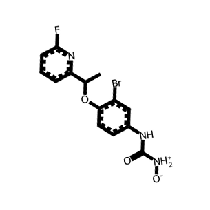 CC(Oc1ccc(NC(=O)[NH2+][O-])cc1Br)c1cccc(F)n1